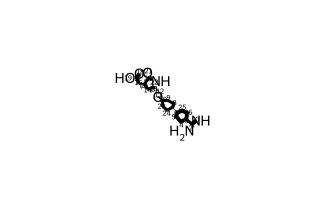 N=C(N)c1ccc([C@H]2CC[C@H](OC[C@@H]3C[C@@H](CC(=O)O)C(=O)N3)CC2)cc1